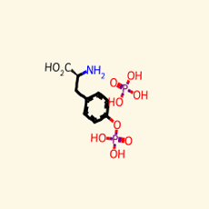 N[C@@H](Cc1ccc(OP(=O)(O)O)cc1)C(=O)O.O=P(O)(O)O